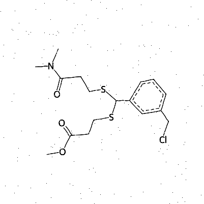 COC(=O)CCSC(SCCC(=O)N(C)C)c1cccc(CCl)c1